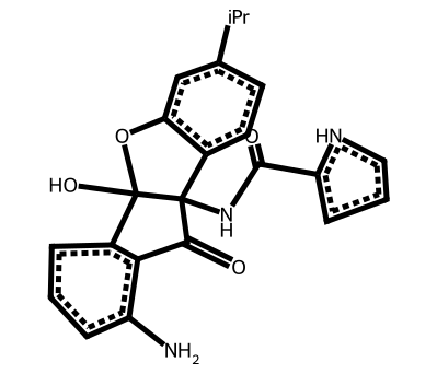 CC(C)c1ccc2c(c1)OC1(O)c3cccc(N)c3C(=O)C21NC(=O)c1ccc[nH]1